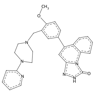 COc1ccc(-c2cc3n[nH]c(=O)n3c3ccccc23)cc1CN1CCN(c2ccccn2)CC1